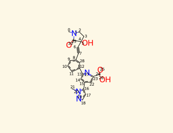 CN1CCC(O)(C#Cc2cccc(-c3cc(-c4ccnn4C)cc(C(=O)O)n3)c2)C1=O